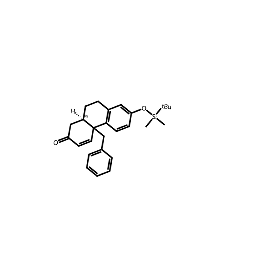 CC(C)(C)[Si](C)(C)Oc1ccc2c(c1)CC[C@@H]1CC(=O)C=CC21Cc1ccccc1